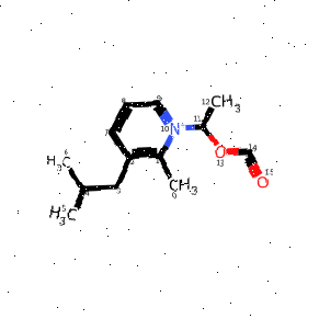 Cc1c(CC(C)C)ccc[n+]1C(C)OC=O